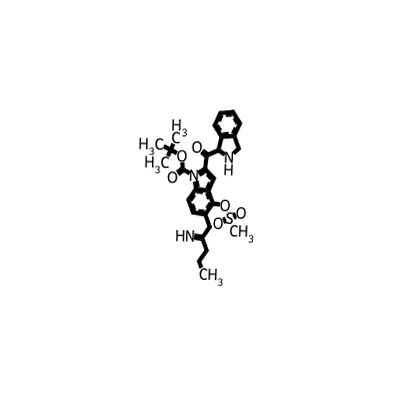 CCCC(=N)Cc1ccc2c(cc(C(=O)C3NCc4ccccc43)n2C(=O)OC(C)(C)C)c1OS(C)(=O)=O